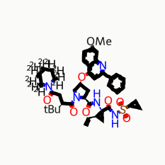 [2H]C1([2H])N(C(=O)C[C@H](C(=O)N2C[C@H](Oc3cc(-c4ccccc4)nc4cc(OC)ccc34)C[C@H]2C(=O)N[C@]2(C(=O)NS(=O)(=O)C3CC3)C[C@H]2C=C)C(C)(C)C)C([2H])([2H])C([2H])([2H])C([2H])([2H])C1([2H])[2H]